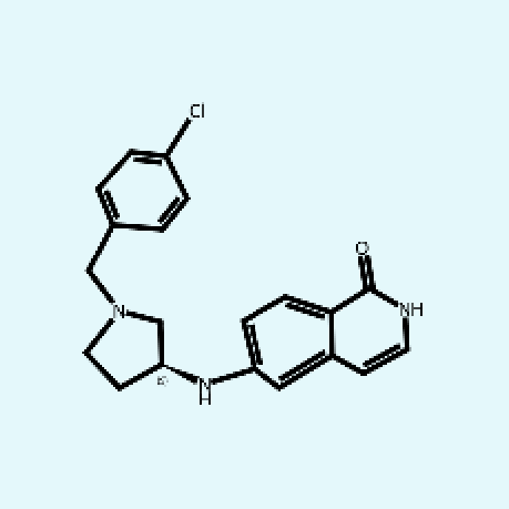 O=c1[nH]ccc2cc(N[C@H]3CCN(Cc4ccc(Cl)cc4)C3)ccc12